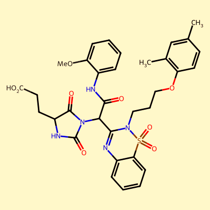 COc1ccccc1NC(=O)C(C1=Nc2ccccc2S(=O)(=O)N1CCCOc1ccc(C)cc1C)N1C(=O)NC(CCC(=O)O)C1=O